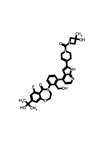 CC1(O)CN(C(=O)N2CC=C(c3cc4c(-c5cccc(N6CCOc7cc(C(C)(C)O)cc(F)c7C6=O)c5CO)ccnc4[nH]3)CC2)C1